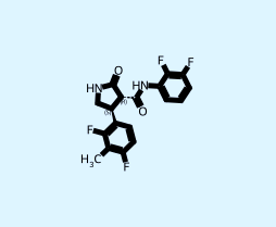 Cc1c(F)ccc([C@H]2CNC(=O)[C@@H]2C(=O)Nc2cccc(F)c2F)c1F